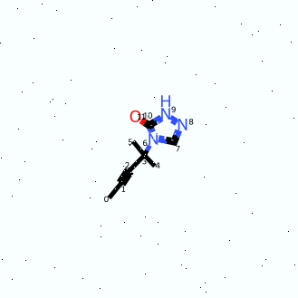 CC#CC(C)(C)n1cn[nH]c1=O